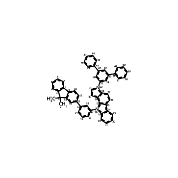 CC1(C)c2ccccc2-c2ccc(-c3cccc(-n4c5ccccc5c5ccc6c(ccn6-c6cc(-c7ccccc7)cc(-c7ccccc7)c6)c54)c3)cc21